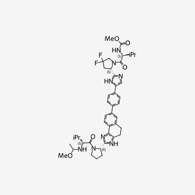 COC(=O)N[C@H](C(=O)N1CC(F)(F)C[C@H]1c1ncc(-c2ccc(-c3ccc4c(c3)CCc3[nH]c([C@@H]5CCCN5C(=O)[C@@H](NC(C)OC)C(C)C)nc3-4)cc2)[nH]1)C(C)C